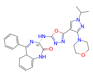 CC(C)n1cc(-c2nnc(N[C@H]3N=C(c4ccccc4)C4CC=CC=C4NC3=O)o2)c(N2CCOCC2)n1